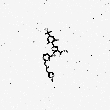 Cn1cc(CNCc2nccc(Nc3sc(-c4c(F)cc(C(C)(C)O)cc4F)cc3C(N)=O)n2)cn1